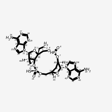 CC[C@@]12CO[PH](=O)O[C@@H]3C[C@@H](CO[P@@](=O)(S)O[C@]14C[C@H]4[C@H](n1cnc4c(N)ncnc41)O2)O[C@H]3n1cnc2c(N)ncnc21